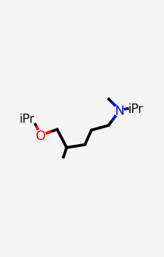 CC(CCCN(C)C(C)C)COC(C)C